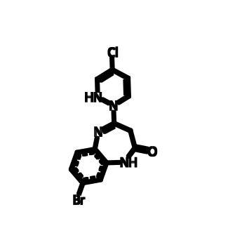 O=C1CC(N2C=CC(Cl)=CN2)=Nc2ccc(Br)cc2N1